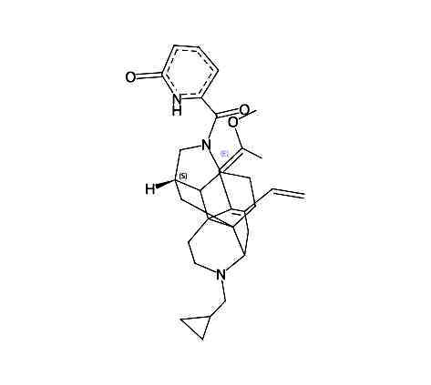 C=CC1=C(/C=C(\C)OC)C23CCN(CC4CC4)C(C1)C21CCC2C3[C@@H](CN2C(=O)c2cccc(=O)[nH]2)C1